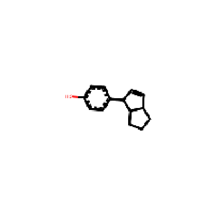 Oc1ccc(C2C=CC3CCCC32)cc1